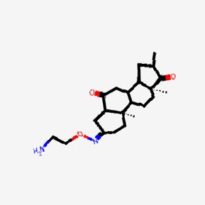 CC1CC2C3CC(=O)C4CC(=NOCCN)CC[C@]4(C)C3CC[C@]2(C)C1=O